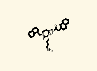 NCCCC[C@H]1N[C@H](CNC(=O)Cc2ccc3ccccc3c2)CCN(Cc2cccc3ccccc23)C1=O